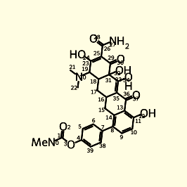 CNC(=O)Oc1ccc(-c2ccc(O)c3c2CC2CC4C(N(C)C)C(O)=C(C(N)=O)C(=O)C4(O)C(O)=C2C3=O)cc1